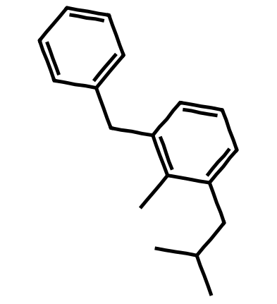 Cc1c(Cc2ccccc2)cccc1CC(C)C